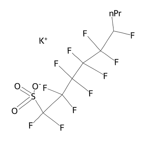 CCCC(F)C(F)(F)C(F)(F)C(F)(F)C(F)(F)C(F)(F)S(=O)(=O)[O-].[K+]